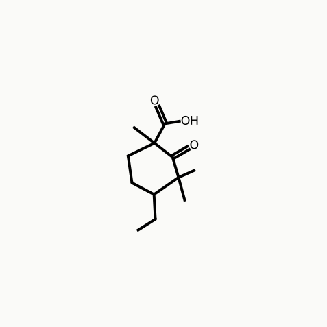 CCC1CCC(C)(C(=O)O)C(=O)C1(C)C